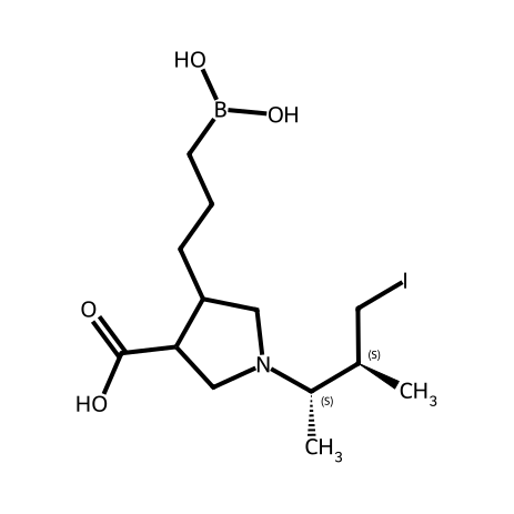 C[C@H](CI)[C@H](C)N1CC(CCCB(O)O)C(C(=O)O)C1